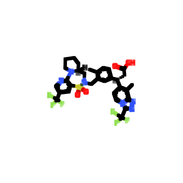 Cc1ccc([C@H](CC(=O)O)c2ccn3c(C(F)(F)F)nnc3c2C)cc1CN1C[C@H]2CCCCN2c2ncc(C(F)(F)F)cc2S1(=O)=O